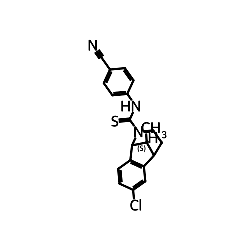 C[C@H]1C2CCN(C(=S)Nc3ccc(C#N)cc3)C1c1ccc(Cl)cc12